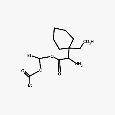 CCC(=O)OC(CC)OC(=O)C(N)C1(CC(=O)O)CCCCC1